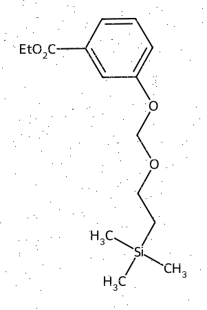 CCOC(=O)c1cccc(OCOCC[Si](C)(C)C)c1